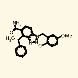 COc1ccc(Cl)c(Cn2nnc3c([C@@H](C)c4ccccc4)c(C(N)=O)ccc32)c1